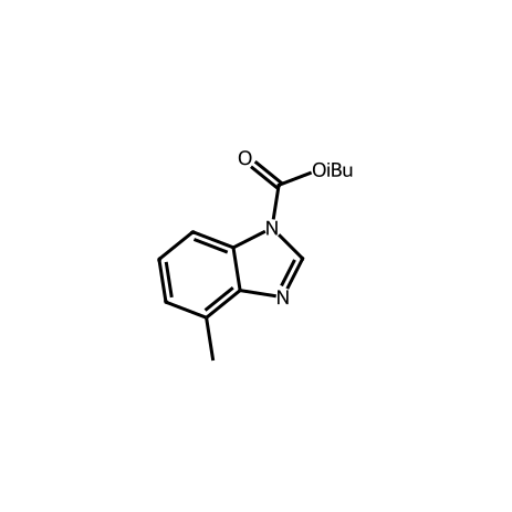 Cc1cccc2c1ncn2C(=O)OCC(C)C